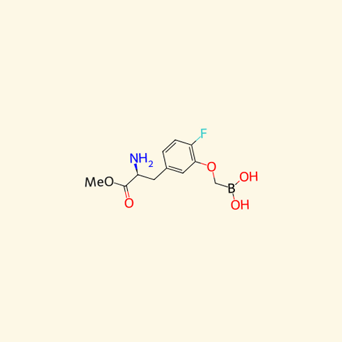 COC(=O)[C@@H](N)Cc1ccc(F)c(OCB(O)O)c1